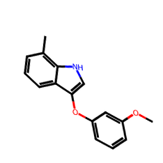 COc1cccc(Oc2c[nH]c3c(C)cccc23)c1